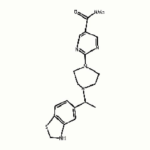 CNC(=O)c1cnc(N2CCN(C(C)c3ccc4c(c3)NCS4)CC2)nc1